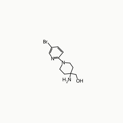 NC1(CO)CCN(c2ccc(Br)cn2)CC1